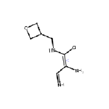 N=C/C(N)=C(/Cl)NCC1COC1